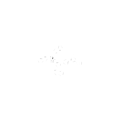 Cc1cc(C)cc(-c2ccc(-c3cc(C4=NC(c5ccc6ccccc6c5)N5C(c6ccc7ccccc7c6)N45)cc(-c4cccc5ccccc45)c3)cc2)c1